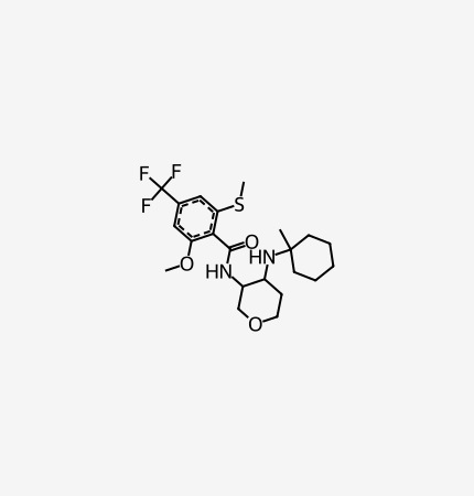 COc1cc(C(F)(F)F)cc(SC)c1C(=O)NC1COCCC1NC1(C)CCCCC1